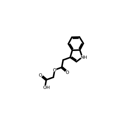 O=C(O)COC(=O)Cc1c[nH]c2ccccc12